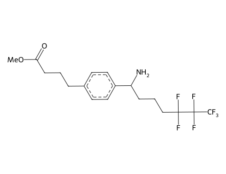 COC(=O)CCCc1ccc(C(N)CCCC(F)(F)C(F)(F)C(F)(F)F)cc1